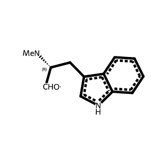 CN[C@@H]([C]=O)Cc1c[nH]c2ccccc12